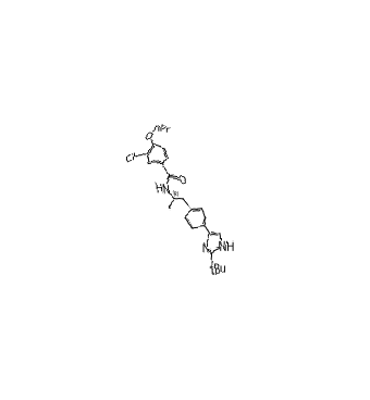 CCCOc1ccc(C(=O)N[C@H](C)Cc2ccc(-c3c[nH]c(C(C)(C)C)n3)cc2)cc1Cl